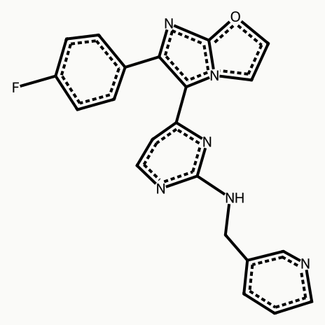 Fc1ccc(-c2nc3occn3c2-c2ccnc(NCc3cccnc3)n2)cc1